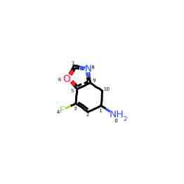 NC1C=C(F)c2ocnc2C1